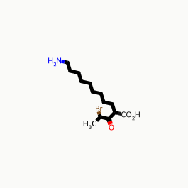 CC(Br)C(=O)C(CCCCCCCCCN)C(=O)O